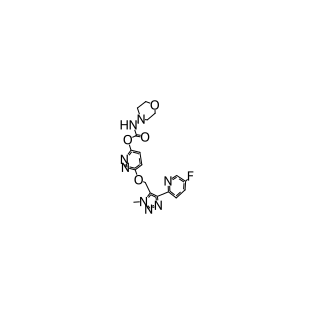 Cn1nnc(-c2ccc(F)cn2)c1COc1ccc(OC(=O)NN2CCOCC2)nn1